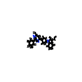 C=Cc1c(C)n(-c2ccc(-c3cc(C)nc(-c4ccccc4)n3)cc2)c2ccccc12